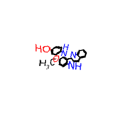 COc1cc(O)ccc1Nc1cccc2[nH]c3cc4ccccc4nc3c12